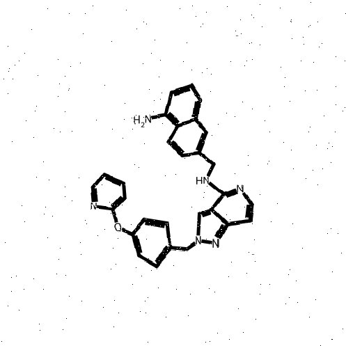 Nc1cccc2cc(CNc3nccc4nn(Cc5ccc(Oc6ccccn6)cc5)cc34)ccc12